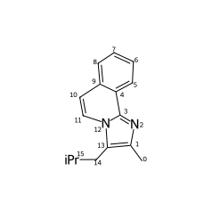 Cc1nc2c3ccccc3ccn2c1CC(C)C